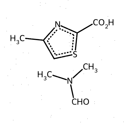 CN(C)C=O.Cc1csc(C(=O)O)n1